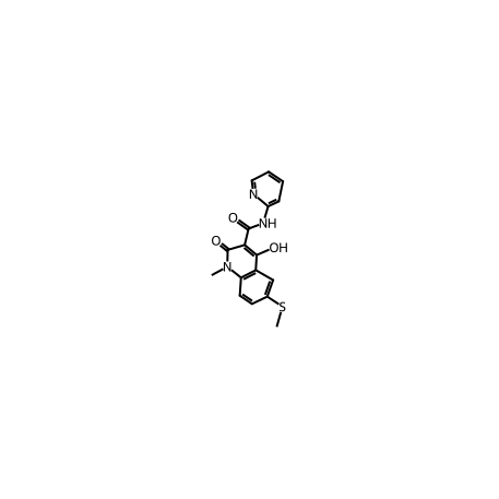 CSc1ccc2c(c1)c(O)c(C(=O)Nc1ccccn1)c(=O)n2C